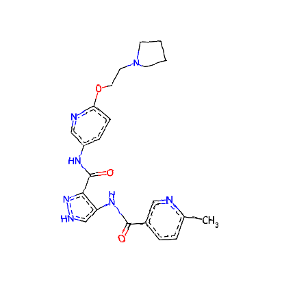 Cc1ccc(C(=O)Nc2c[nH]nc2C(=O)Nc2ccc(OCCN3CCCC3)nc2)cn1